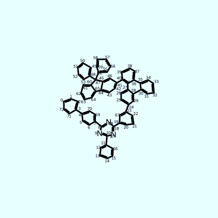 c1ccc(-c2ccc(-c3nc(-c4ccccc4)nc(-c4cccc(-c5ccc6c(c5)c5ccccc5c5cccc(-c7ccc8c(c7)C(c7ccccc7)(c7ccccc7)c7ccccc7-8)c56)c4)n3)cc2)cc1